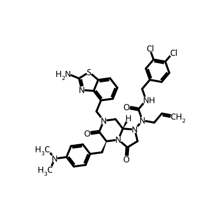 C=CCN(C(=O)NCc1ccc(Cl)c(Cl)c1)N1CC(=O)N2[C@@H](Cc3ccc(N(C)C)cc3)C(=O)N(Cc3cccc4sc(N)nc34)C[C@@H]21